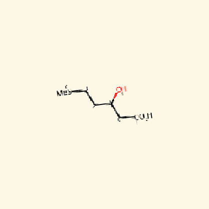 CSCCC(O)CC(=O)O